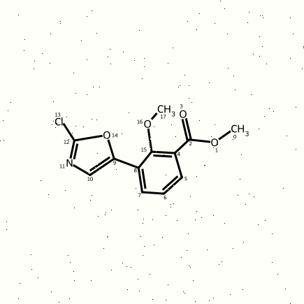 COC(=O)c1cccc(-c2cnc(Cl)o2)c1OC